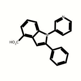 O=C(O)c1cccc2c1cc(-c1ccccc1)n2-c1cccnc1